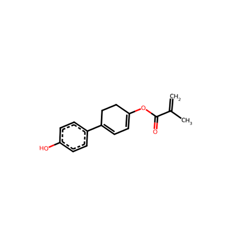 C=C(C)C(=O)OC1=CC=C(c2ccc(O)cc2)CC1